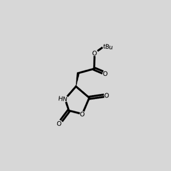 CC(C)(C)OC(=O)C[C@@H]1NC(=O)OC1=O